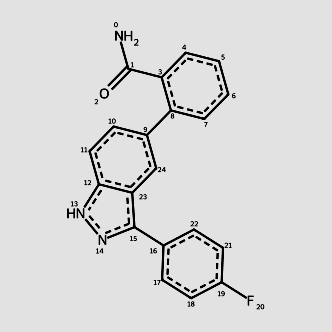 NC(=O)c1ccccc1-c1ccc2[nH]nc(-c3ccc(F)cc3)c2c1